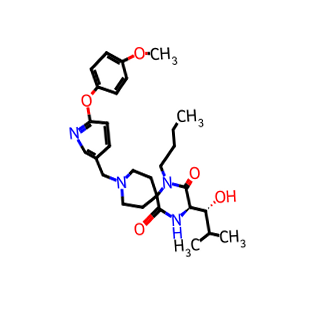 CCCCN1C(=O)[C@@H]([C@H](O)C(C)C)NC(=O)C12CCN(Cc1ccc(Oc3ccc(OC)cc3)nc1)CC2